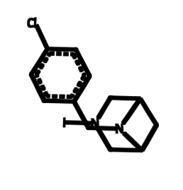 Clc1ccc(CN2C3CC2CN(I)C3)cc1